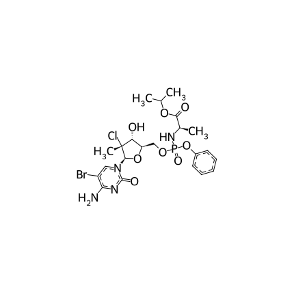 CC(C)OC(=O)[C@@H](C)NP(=O)(OC[C@H]1O[C@@H](n2cc(Br)c(N)nc2=O)[C@](C)(Cl)[C@@H]1O)Oc1ccccc1